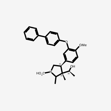 COc1ccc([C@@H]2CN(C(=O)O)C(C)[C@@]2(C)[C@H](C)O)cc1Oc1ccc(-c2ccccc2)cc1